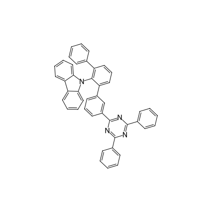 c1ccc(-c2nc(-c3ccccc3)nc(-c3cccc(-c4cccc(-c5ccccc5)c4-n4c5ccccc5c5ccccc54)c3)n2)cc1